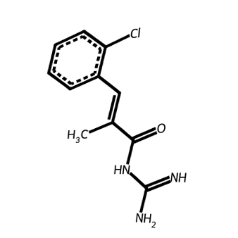 C/C(=C\c1ccccc1Cl)C(=O)NC(=N)N